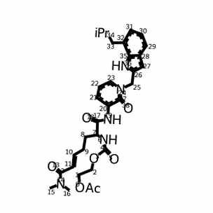 CC(=O)OCCOC(=O)NC(CCC=CC(=O)N(C)C)C(=O)Nc1cccn(Cc2cc3cccc(CC(C)C)c3[nH]2)c1=O